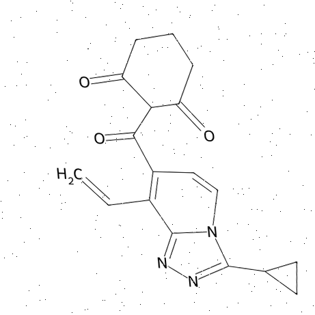 C=Cc1c(C(=O)C2C(=O)CCCC2=O)ccn2c(C3CC3)nnc12